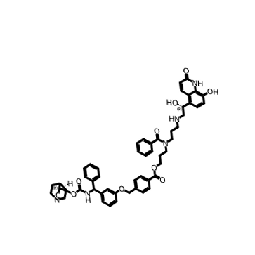 O=C(NC(c1ccccc1)c1cccc(OCc2ccc(C(=O)OCCCN(CCCNC[C@H](O)c3ccc(O)c4[nH]c(=O)ccc34)C(=O)c3ccccc3)cc2)c1)O[C@H]1CN2CCC1CC2